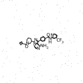 Nc1nccn2c(C3CCCN(C(=O)C45CC(C4)C5)C3)nc(-c3ccc(C(=O)Nc4cc(C(F)(F)F)ccn4)cc3)c12